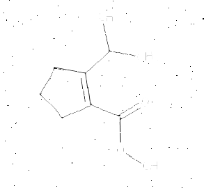 COC(=O)C1=C(C(C)C)CCC1